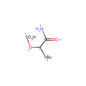 CCCCC(OS(=O)(=O)O)C(N)=O